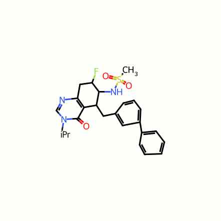 CC(C)n1cnc2c(c1=O)C(Cc1cccc(-c3ccccc3)c1)C(NS(C)(=O)=O)C(F)C2